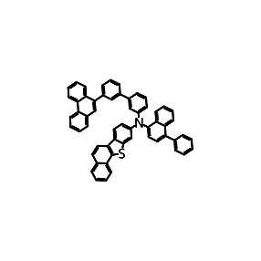 c1ccc(-c2ccc(N(c3cccc(-c4cccc(-c5cc6ccccc6c6ccccc56)c4)c3)c3ccc4c(c3)sc3c5ccccc5ccc43)c3ccccc23)cc1